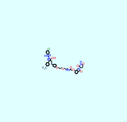 O=C(COc1cccc2c1CN(C1CCC(=O)NC1=O)C2=O)NCCCOCCCOc1ccc(CCc2c(-c3ccc(C(F)(F)F)cc3)nn(-c3nc4cc(Cl)ccc4[nH]3)c2O)cc1